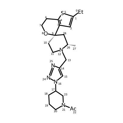 CCc1cc2c(s1)CCO[C@@]21CCN(Cc2cn(C3CCCN(C(C)=O)C3)nn2)[C@@H](C)C1